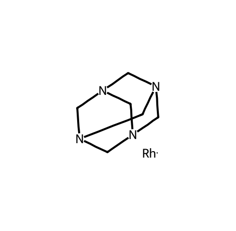 C1N2CN3CN1CN(C2)C3.[Rh]